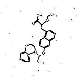 CCOC(Cc1cccc2cc(OC(C)N3CCSc4ccccc43)ccc12)C(=O)O